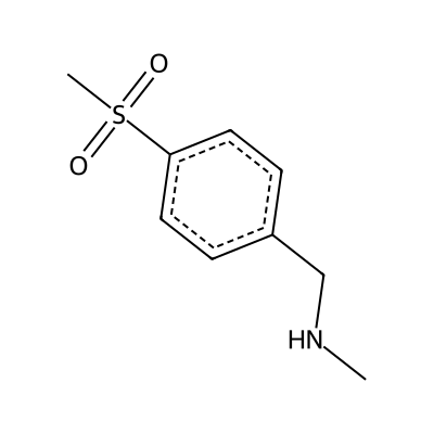 CNCc1ccc(S(C)(=O)=O)cc1